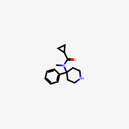 CN(C(=O)C1CC1)C1(c2ccccc2)CCNCC1